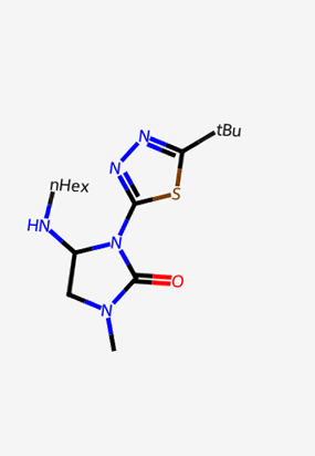 CCCCCCNC1CN(C)C(=O)N1c1nnc(C(C)(C)C)s1